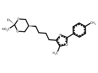 CC[C@]1(C(=O)O)OC[C@@H](CCCCc2nc(-c3ccc(C)cc3)oc2C)CO1